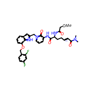 COCC(=O)NC(CC/C=C/C(=O)N(C)C)C(=O)Nc1cccn(Cc2cc3cccc(OCc4ccc(F)cc4F)c3[nH]2)c1=O